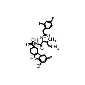 CCC(C)[C@H](NC(=O)Cc1ccc(F)cc1F)C(=O)N[C@]1(C(=O)O)CCc2[nH]c3c(Cl)cc(F)cc3c2C1